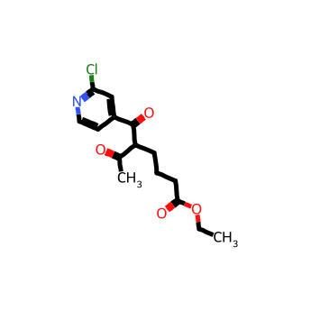 CCOC(=O)CCCC(C(C)=O)C(=O)c1ccnc(Cl)c1